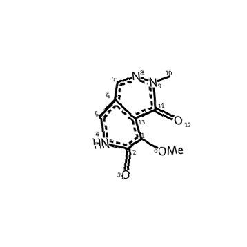 COc1c(=O)[nH]cc2cnn(C)c(=O)c12